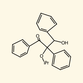 CC(C)OC(C(=O)c1ccccc1)(c1ccccc1)C(O)c1ccccc1